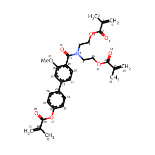 C=C(C)C(=O)OCCN(CCOC(=O)C(=C)C)C(=O)c1ccc(-c2ccc(OC(=O)C(=C)C)cc2)cc1OC